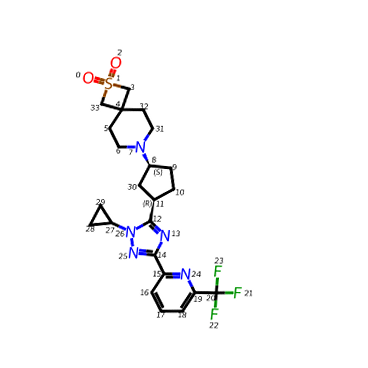 O=S1(=O)CC2(CCN([C@H]3CC[C@@H](c4nc(-c5cccc(C(F)(F)F)n5)nn4C4CC4)C3)CC2)C1